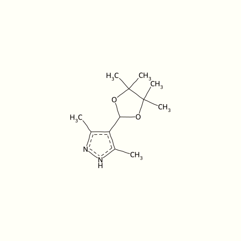 Cc1n[nH]c(C)c1C1OC(C)(C)C(C)(C)O1